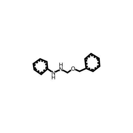 c1ccc(COCNNc2ccccc2)cc1